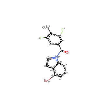 O=C(c1cc(F)c([N+](=O)[O-])c(F)c1)n1ccc2c(Br)cccc21